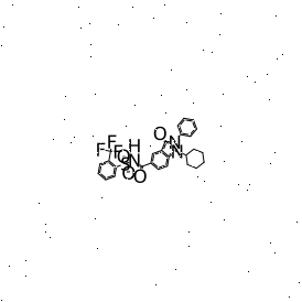 O=C(NS(=O)(=O)c1ccccc1C(F)(F)F)c1ccc2c(c1)c(=O)n(-c1ccccc1)n2C1CCCCC1